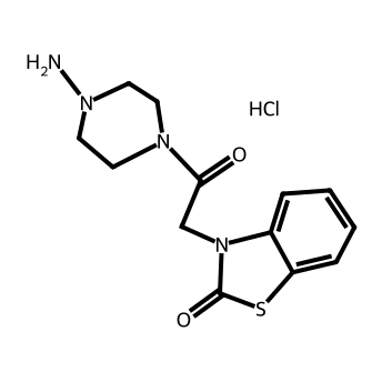 Cl.NN1CCN(C(=O)Cn2c(=O)sc3ccccc32)CC1